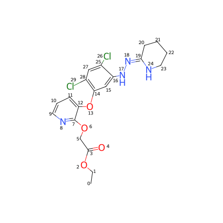 CCOC(=O)COc1ncccc1Oc1cc(N/N=C2/CCCCN2)c(Cl)cc1Cl